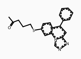 CC(=O)CCCSc1ccc2c(-c3ccccc3)cc3nncn3c2c1